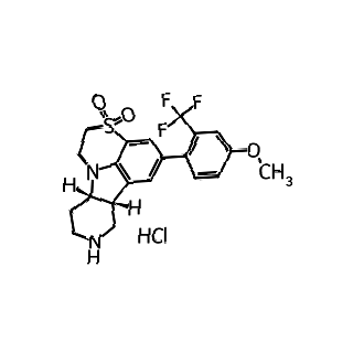 COc1ccc(-c2cc3c4c(c2)S(=O)(=O)CCN4[C@H]2CCNC[C@@H]32)c(C(F)(F)F)c1.Cl